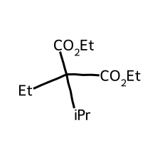 CCOC(=O)C(CC)(C(=O)OCC)C(C)C